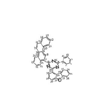 c1ccc(-c2nc(-c3cc4c5ccccc5ccc4c4ccccc34)nc(-c3cccc4oc5ccccc5c34)n2)cc1